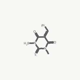 BN1C(=O)/C(=C\C(C)C)C(=O)N(C)C1=S